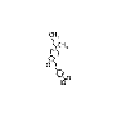 CCCC/C(C)=C(F)/C=C\[C@H]1CCC(=O)N1CCc1ccc(C(=O)O)cc1